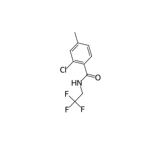 Cc1ccc(C(=O)NCC(F)(F)F)c(Cl)c1